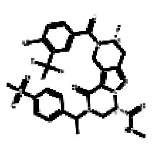 CNC(=O)[C@@H]1CN(C(C)c2ccc(S(C)(=O)=O)cc2)C(=O)c2c3c(nn21)C[C@@H](C)N(C(=O)c1ccc(Cl)c(C(F)(F)F)c1)C3